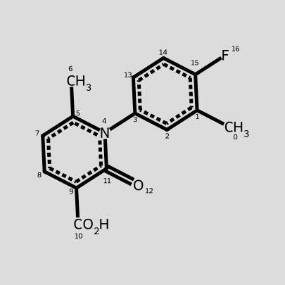 Cc1cc(-n2c(C)ccc(C(=O)O)c2=O)ccc1F